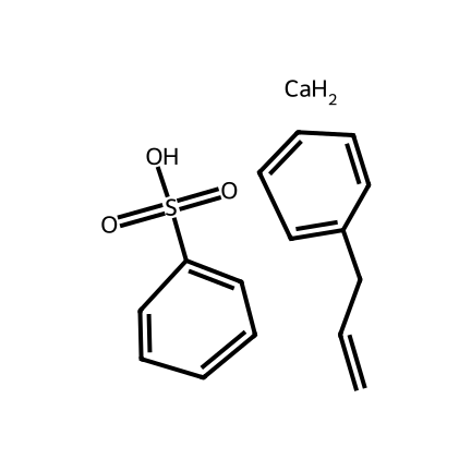 C=CCc1ccccc1.O=S(=O)(O)c1ccccc1.[CaH2]